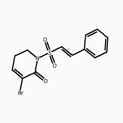 O=C1C(Br)=CCCN1S(=O)(=O)/C=C/c1ccccc1